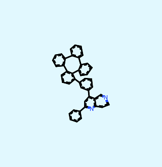 c1ccc(-c2cc(-c3cccc(-c4cccc5c4-c4ccccc4-c4ccccc4-c4ccccc4-5)c3)c3cnccc3n2)cc1